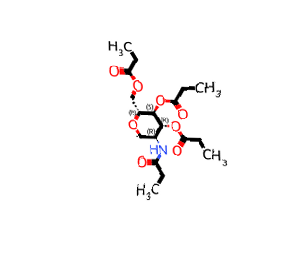 CCC(=O)N[C@@H]1[CH]O[C@H](COC(=O)CC)[C@@H](OC(=O)CC)[C@@H]1OC(=O)CC